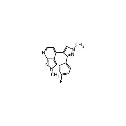 Cn1cc(-c2ccnc3nn(C)cc23)c(-c2ccc(F)cc2)n1